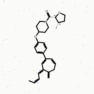 C=C1CC=CC(c2ccc(OC3CCN(C(=O)[C@@H]4OCC[C@@H]4C)CC3)cc2)=C/C1=C/C=C\C